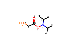 CC(C)N(OC(=O)CP)C(C)C